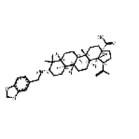 C=C(C)[C@@H]1CC[C@]2(C(=O)O)CC[C@]3(C)[C@H](CC[C@@H]4[C@@]5(C)CC[C@H](NCc6ccc7c(c6)OCO7)C(C)(C)[C@@H]5CC[C@]43C)[C@@H]12